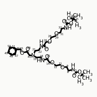 CC(C)(C)OC(=O)NCCOCCOCC(=O)NCCN(CCNC(=O)COCCOCCNC(=O)OC(C)(C)C)CC(=O)OCc1ccccc1